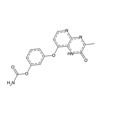 Cc1nc2nccc(Oc3cccc(OC(N)=O)c3)c2[nH]c1=O